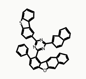 c1ccc(-c2ccc3oc4cc5ccccc5cc4c3c2-c2nc(-c3ccc4ccccc4c3)nc(-c3ccc4sc5ccccc5c4c3)n2)cc1